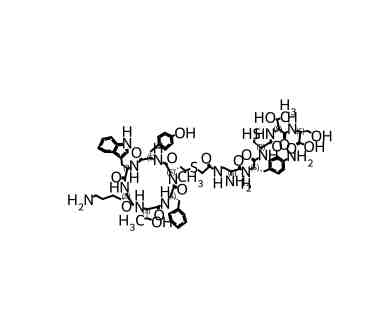 CC(O)[C@H](NC(=O)[C@H](CS)NC(=O)[C@H](Cc1ccc(N)cc1)NC(=O)[C@@H](N)CNC(=O)CSCC[C@H]1C(=O)N[C@@H](Cc2ccc(O)cc2)C(=O)N[C@H](Cc2c[nH]c3ccccc23)C(=O)N[C@@H](CCCCN)C(=O)N[C@@H](C(C)O)C(=O)N[C@@H](Cc2ccccc2)C(=O)N1C)C(=O)N[C@@H](CO)C(=O)O